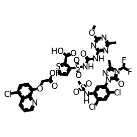 COc1nc(C)nc(NC(=O)NS(=O)(=O)c2ccsc2C(=O)O)n1.Cc1nn(-c2cc(NS(C)(=O)=O)c(Cl)cc2Cl)c(=O)n1C(F)F.O=C(O)COc1ccc(Cl)c2cccnc12